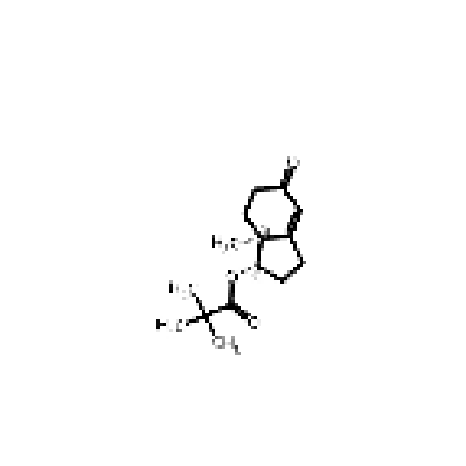 CC(C)(C)C(=O)O[C@H]1CCC2=CC(=O)CC[C@@]21C